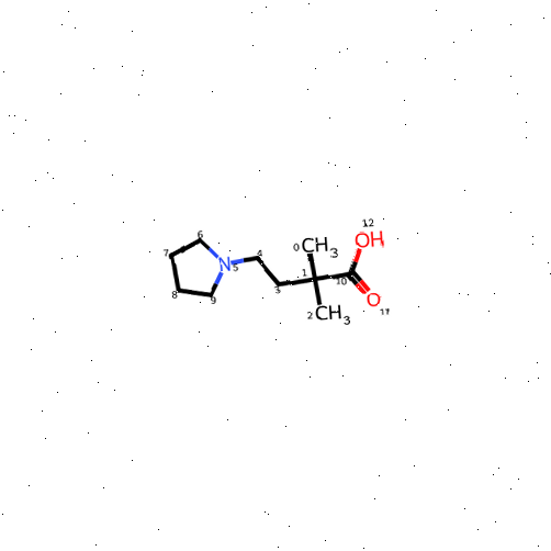 CC(C)(CCN1CCCC1)C(=O)O